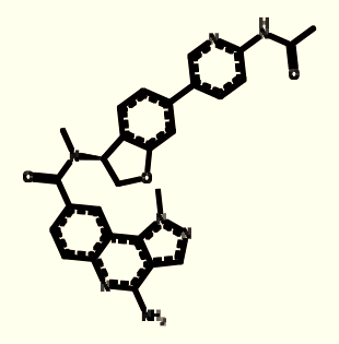 CC(=O)Nc1ccc(-c2ccc3c(c2)OC[C@H]3N(C)C(=O)c2ccc3nc(N)c4cnn(C)c4c3c2)cn1